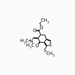 CCOC(=O)C1Cc2csc(SC)c2C(=O)C1=CN(C)C